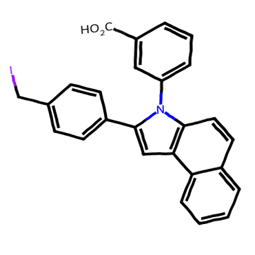 O=C(O)c1cccc(-n2c(-c3ccc(CI)cc3)cc3c4ccccc4ccc32)c1